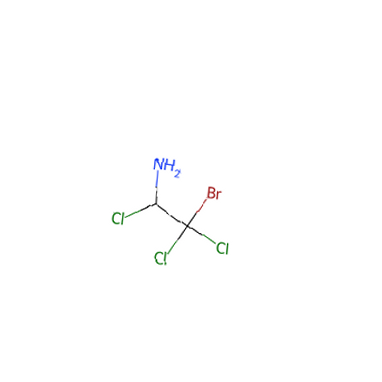 NC(Cl)C(Cl)(Cl)Br